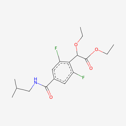 CCOC(=O)C(OCC)c1c(F)cc(C(=O)NCC(C)C)cc1F